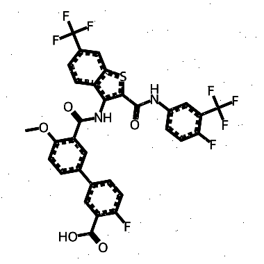 COc1ccc(-c2ccc(F)c(C(=O)O)c2)cc1C(=O)Nc1c(C(=O)Nc2ccc(F)c(C(F)(F)F)c2)sc2cc(C(F)(F)F)ccc12